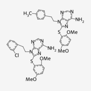 COc1ccc(OC)c(Sc2nc3c(N)ncnc3n2CCc2ccc(C)cc2)c1.COc1ccc(OC)c(Sc2nc3c(N)ncnc3n2CCc2ccccc2Cl)c1